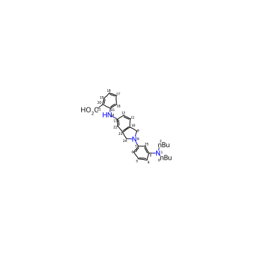 CCCCN(CCCC)c1cccc(N2Cc3ccc(Nc4ccccc4C(=O)O)cc3C2)c1